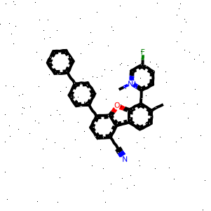 Cc1ccc2c(oc3c(-c4ccc(-c5ccccc5)cc4)ccc(C#N)c32)c1-c1ccc(F)c[n+]1C